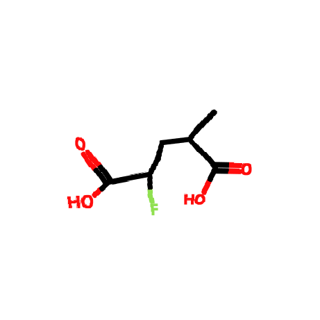 CC(CC(F)C(=O)O)C(=O)O